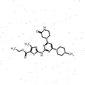 CCOC(=O)c1sc(Nc2nc(N3CCN(C)CC3)cc(N3CCNC(=O)C3)n2)nc1C